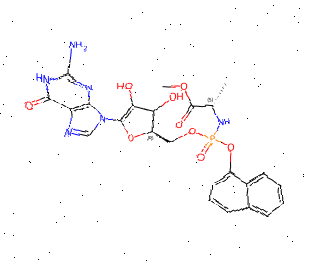 COC(=O)[C@H](C)NP(=O)(OC[C@H]1OC(n2cnc3c(=O)[nH]c(N)nc32)=C(O)C1O)Oc1cccc2ccccc12